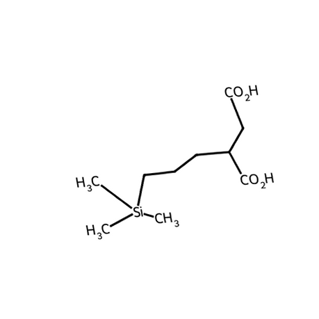 C[Si](C)(C)CCCC(CC(=O)O)C(=O)O